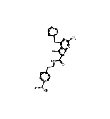 O=C(NCCc1ccc(B(O)O)cc1)c1sc2nc(C(F)(F)F)cc(Cc3ccccc3)c2c1F